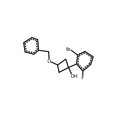 OC1(c2c(F)cccc2Br)CC(OCc2ccccc2)C1